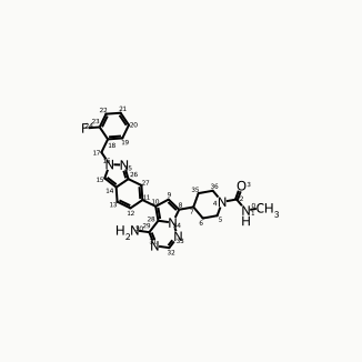 CNC(=O)N1CCC(c2cc(-c3ccc4cn(Cc5ccccc5F)nc4c3)c3c(N)ncnn23)CC1